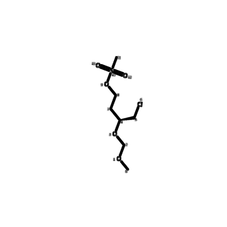 COCO[C@H](CCl)CCOS(C)(=O)=O